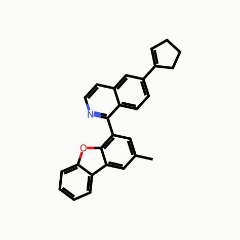 Cc1cc(-c2nccc3cc(C4=CCCC4)ccc23)c2oc3ccccc3c2c1